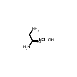 Cl.Cl.NCC(N)=O